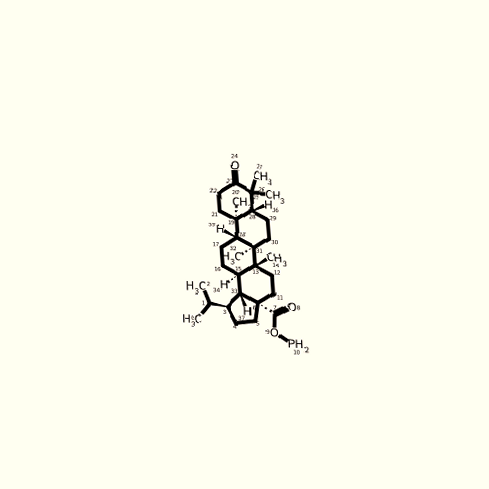 CC(C)[C@@H]1CC[C@]2(C(=O)OP)CC[C@]3(C)[C@H](CC[C@@H]4[C@@]5(C)CCC(=O)C(C)(C)[C@@H]5CC[C@]43C)[C@@H]12